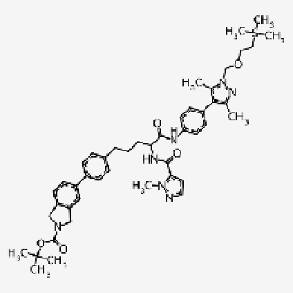 Cc1nn(COCCS(C)(C)C)c(C)c1-c1ccc(NC(=O)C(CCCc2ccc(-c3ccc4c(c3)CN(C(=O)OC(C)(C)C)C4)cc2)NC(=O)c2ccnn2C)cc1